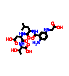 CC(C)CC(NC(=O)c1cc(NCC(=O)O)ccc1N)C(=O)NC(CC(=O)O)C(=O)NC(C(=O)O)C(C)O